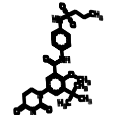 CCCS(=O)(=O)Nc1ccc(NC(=O)c2cc(N3CCC(=O)NC3=O)cc(C(C)(C)C)c2OC)cc1